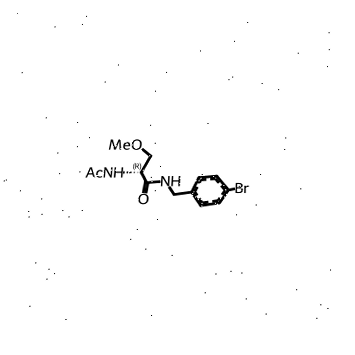 COC[C@@H](NC(C)=O)C(=O)NCc1ccc(Br)cc1